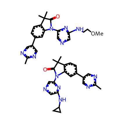 COCCNc1cncc(N2C(=O)C(C)(C)c3ccc(-c4cnc(C)nc4)cc32)n1.Cc1ncc(-c2ccc3c(c2)N(c2cncc(NC4CC4)n2)C(=O)C3(C)C)cn1